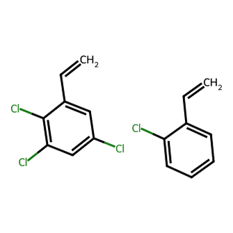 C=Cc1cc(Cl)cc(Cl)c1Cl.C=Cc1ccccc1Cl